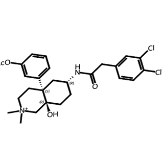 CC(=O)Oc1cccc([C@@]23CC[N+](C)(C)C[C@@]2(O)CC[C@@H](NC(=O)Cc2ccc(Cl)c(Cl)c2)C3)c1